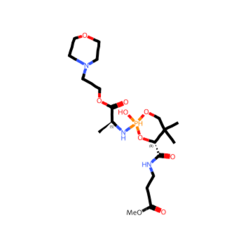 COC(=O)CCNC(=O)[C@@H]1O[PH](O)(N[C@@H](C)C(=O)OCCN2CCOCC2)OCC1(C)C